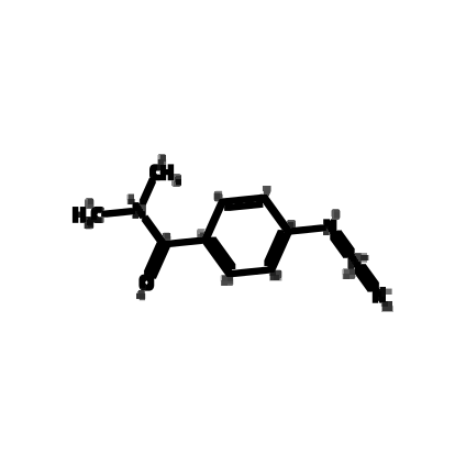 CN(C)C(=O)c1ccc(N=[N+]=[N-])cc1